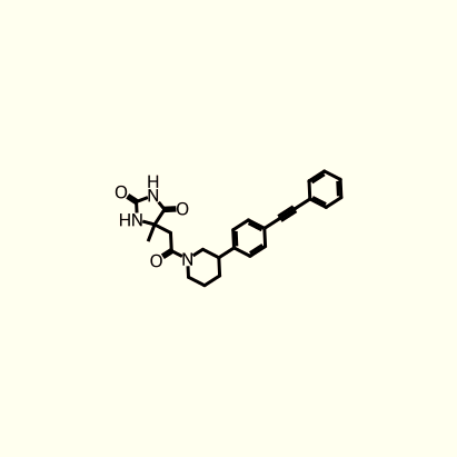 CC1(CC(=O)N2CCCC(c3ccc(C#Cc4ccccc4)cc3)C2)NC(=O)NC1=O